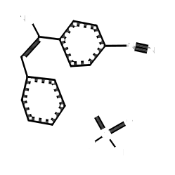 N#CC(=Cc1ccccc1)c1ccc([N+]#N)cc1.O=S(=O)([O-])C(F)(F)F